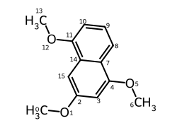 COc1cc(OC)c2cccc(OC)c2c1